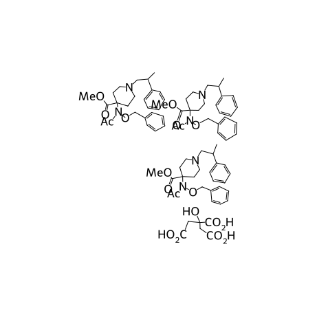 COC(=O)C1(N(OCc2ccccc2)C(C)=O)CCN(CC(C)c2ccccc2)CC1.COC(=O)C1(N(OCc2ccccc2)C(C)=O)CCN(CC(C)c2ccccc2)CC1.COC(=O)C1(N(OCc2ccccc2)C(C)=O)CCN(CC(C)c2ccccc2)CC1.O=C(O)CC(O)(CC(=O)O)C(=O)O